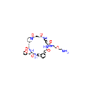 NCCOCCNC(=O)[C@@H]1CCNC(=O)/C=C/C(=O)N2CCCC(CC(=O)N[C@H](Cc3ccco3)C(=O)NCc3ccccc3CC(=O)N1)C2